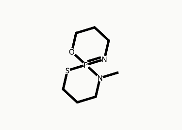 CN1CCCSP12=NCCCO2